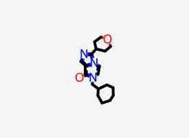 O=c1c2cnc(C3CCOCC3)n2ccn1CC1CCCCCC1